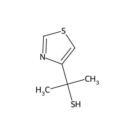 CC(C)(S)c1cscn1